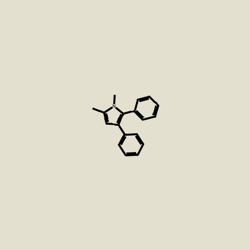 Cc1cc(-c2ccccc2)c(-c2ccccc2)n1C